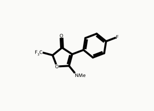 CNC1=C(c2ccc(F)cc2)C(=O)C(C(F)(F)F)O1